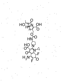 CC(O)[C@H]1C(=O)N2C(C(=O)O)=C(COC(=O)NC3CCN(c4c(C(=O)O)c(=O)c5c(n4C4CC4)C(F)C(=O)C(F)=C5N)C3)[C@H](C)[C@H]12